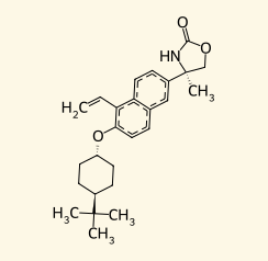 C=Cc1c(O[C@H]2CC[C@H](C(C)(C)C)CC2)ccc2cc([C@]3(C)COC(=O)N3)ccc12